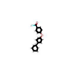 O=C(F)c1ccc(Oc2ccc(-c3ccccc3)cc2)cc1